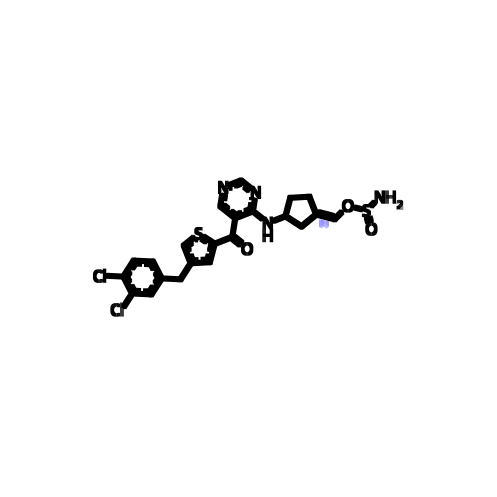 NS(=O)O/C=C1\CCC(Nc2ncncc2C(=O)c2cc(Cc3ccc(Cl)c(Cl)c3)cs2)C1